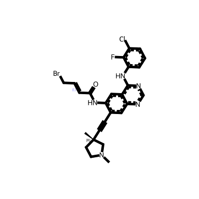 CN1CC[C@](C)(C#Cc2cc3ncnc(Nc4cccc(Cl)c4F)c3cc2NC(=O)/C=C/CBr)C1